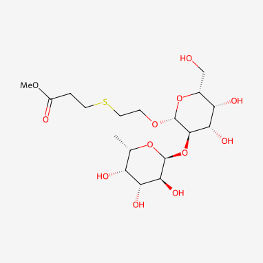 COC(=O)CCSCCO[C@@H]1O[C@H](CO)[C@H](O)[C@H](O)[C@H]1O[C@@H]1O[C@@H](C)[C@@H](O)[C@@H](O)[C@@H]1O